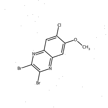 COc1cc2nc(Br)c(Br)nc2cc1Cl